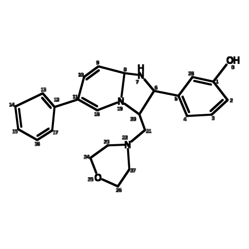 Oc1cccc(C2NC3C=CC(c4ccccc4)=CN3C2CN2CCOCC2)c1